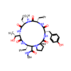 CC(C)C[C@@H]1NC(=O)[C@H](Cc2ccc(O)cc2)NC(=O)[C@@H]2CCCN2C(C(=O)NC(C)(C)C)[C@H](CC(C)C)NC(=O)[C@H]([C@@H](C)O)NC(=O)[C@H](CC(=O)O)NC1=O